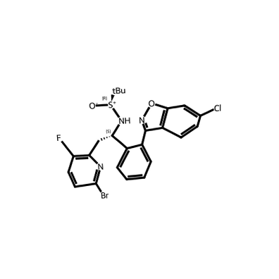 CC(C)(C)[S@+]([O-])N[C@@H](Cc1nc(Br)ccc1F)c1ccccc1-c1noc2cc(Cl)ccc12